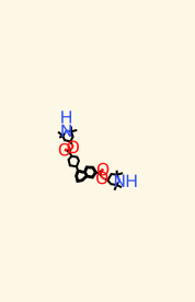 CC1(C)CC(OC(=O)c2ccc3c(C4CCC(C(=O)OC5CC(C)(C)NC(C)(C)C5)CC4)cccc3c2)CC(C)(C)N1